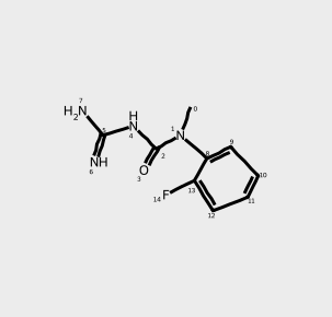 CN(C(=O)NC(=N)N)c1ccccc1F